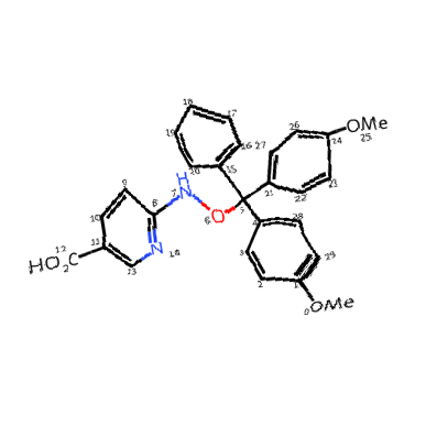 COc1ccc(C(ONc2ccc(C(=O)O)cn2)(c2ccccc2)c2ccc(OC)cc2)cc1